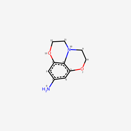 Nc1cc2c3c(c1)OCCN3CCO2